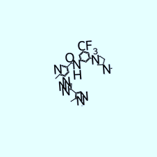 Cc1ncc(C(=O)Nc2cc(N3CCC(N(C)C)C3)cc(C(F)(F)F)c2)cc1-n1cc(-c2cnn(C)c2C)nn1